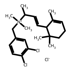 CC1=CCCC(C)(C)C1C=CC(C)[N+](C)(C)Cc1ccc(Cl)c(Cl)c1.[Cl-]